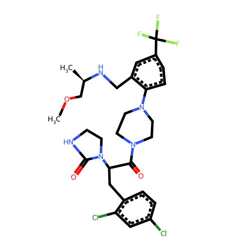 COC[C@@H](C)NCc1cc(C(F)(F)F)ccc1N1CCN(C(=O)C(Cc2ccc(Cl)cc2Cl)N2CCNC2=O)CC1